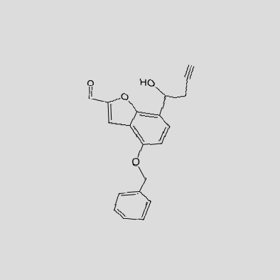 C#CCC(O)c1ccc(OCc2ccccc2)c2cc(C=O)oc12